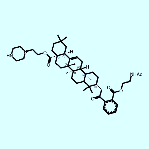 CC(=O)NCCOC(=O)c1ccccc1C(=O)C[C@H]1CC[C@@]2(C)C(CC[C@]3(C)[C@@H]2CC=C2[C@@H]4CC(C)(C)CC[C@]4(C(=O)OCCN4CCNCC4)CC[C@]23C)C1(C)C